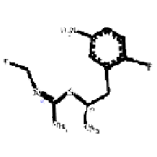 C[C@H](Cc1cc(N)ccc1F)S/C(N)=N\CF